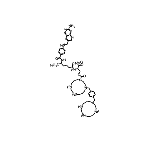 COC(=O)C(COC(=O)N1CCCNCCNCCCN(Cc2ccc(CN3CCCNCCNCCCNCC3)cc2)CC1)NC(=O)CCCC(NC(=O)c1ccc(NCc2cnc3nc(N)ncc3n2)cc1)C(=O)O